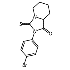 O=C1C2CCCCN2C(=S)N1c1ccc(Br)cc1